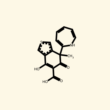 CC1(C2=CC=CC=CN2)C(=O)C(C(=O)O)=C(O)c2cscc21